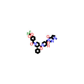 Cn1ccc2c(=O)n(CC3(O)CCN(C(=O)[C@@H]4CCN(C(=O)c5ccc6c(c5)OC(F)(F)O6)C[C@H]4c4ccccc4)CC3)cnc21